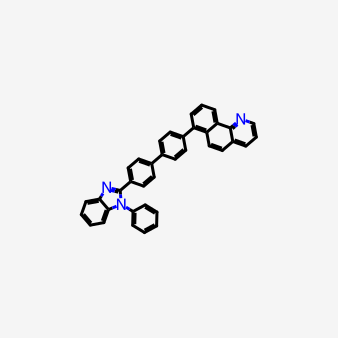 c1ccc(-n2c(-c3ccc(-c4ccc(-c5cccc6c5ccc5cccnc56)cc4)cc3)nc3ccccc32)cc1